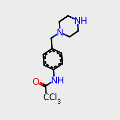 O=C(Nc1ccc(CN2CCNCC2)cc1)C(Cl)(Cl)Cl